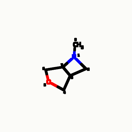 CN1CC2COCC21